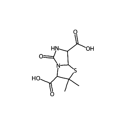 CC1(C)SC2C(C(=O)O)NC(=O)N2C1C(=O)O